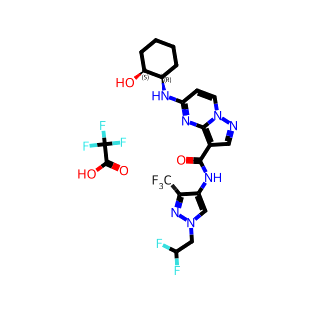 O=C(Nc1cn(CC(F)F)nc1C(F)(F)F)c1cnn2ccc(N[C@@H]3CCCC[C@@H]3O)nc12.O=C(O)C(F)(F)F